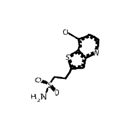 NS(=O)(=O)CCc1cc2nccc(Cl)c2s1